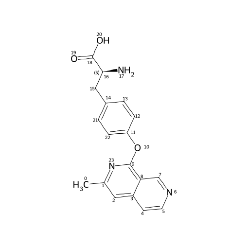 Cc1cc2ccncc2c(Oc2ccc(C[C@H](N)C(=O)O)cc2)n1